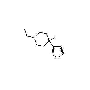 CCN1CCC(C)(c2cc[nH]n2)CC1